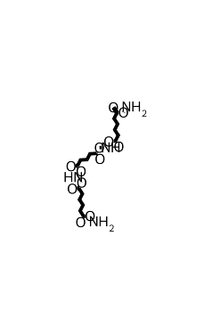 NOC(=O)CCCCC(=O)ONOC(=O)CCCC(=O)ONOC(=O)CCCCC(=O)ON